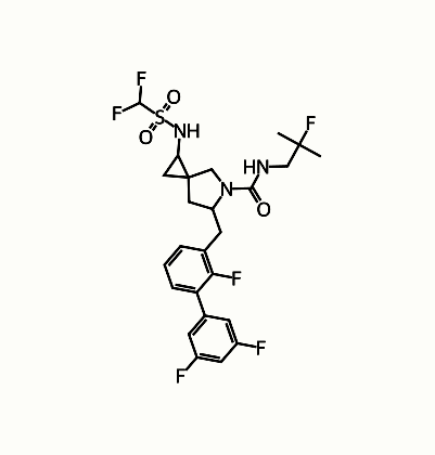 CC(C)(F)CNC(=O)N1CC2(CC1Cc1cccc(-c3cc(F)cc(F)c3)c1F)CC2NS(=O)(=O)C(F)F